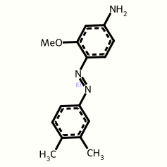 COc1cc(N)ccc1/N=N/c1ccc(C)c(C)c1